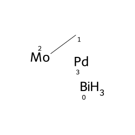 [BiH3].[CH3][Mo].[Pd]